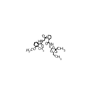 CCCO[C@@H](CNC(=O)[C@@H]1CCCN1C(=O)CNC(=O)c1cccc(OC)c1C)OC(C)=O